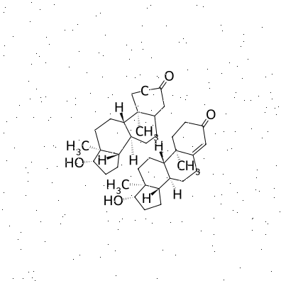 C[C@]12CC[C@H]3[C@@H](CCC4=CC(=O)CC[C@@]43C)[C@@H]1CC[C@@H]2O.C[C@]12CC[C@H]3[C@@H](CCC4CC(=O)CC[C@@]43C)[C@@H]1CC[C@@H]2O